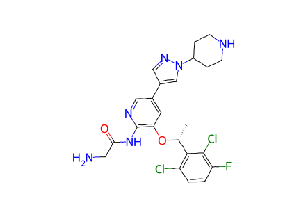 C[C@@H](Oc1cc(-c2cnn(C3CCNCC3)c2)cnc1NC(=O)CN)c1c(Cl)ccc(F)c1Cl